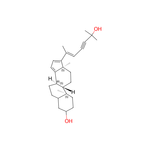 CC(=CC#CC(C)(C)O)C1=CC=C2[C@@H]3CCC4CC(O)CC[C@]4(C)[C@H]3CC[C@]12C